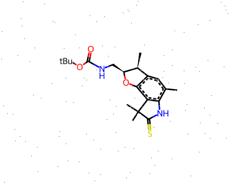 Cc1cc2c(c3c1NC(=S)C3(C)C)O[C@@H](CNC(=O)OC(C)(C)C)[C@H]2C